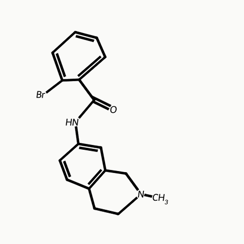 CN1CCc2ccc(NC(=O)c3ccccc3Br)cc2C1